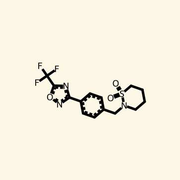 O=S1(=O)CCCCN1Cc1ccc(-c2noc(C(F)(F)F)n2)cc1